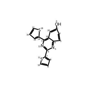 Oc1ccc2nc(-c3cccs3)nc(-c3cccs3)c2c1